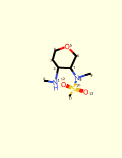 CNC1CCOCC1N(C)S(C)(=O)=O